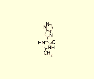 C=C1CNC(C2=Nc3ccnnc3C2)C(=O)N1